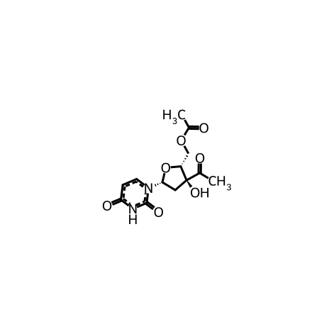 CC(=O)OC[C@H]1O[C@@H](n2ccc(=O)[nH]c2=O)C[C@@]1(O)C(C)=O